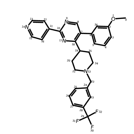 COc1cccc(-c2cnc(-c3ccncc3)nc2C2CCN(Cc3cccc(C(F)(F)F)c3)CC2)c1